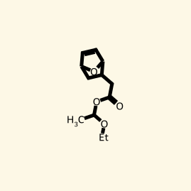 CCOC(C)OC(=O)CC1CC2C=CC1O2